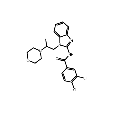 CC(Cn1c(NC(=O)c2ccc(Cl)c(Cl)c2)nc2ccccc21)N1CCOCC1